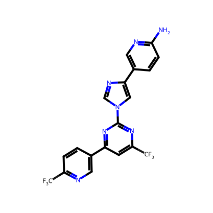 Nc1ccc(-c2cn(-c3nc(-c4ccc(C(F)(F)F)nc4)cc(C(F)(F)F)n3)cn2)cn1